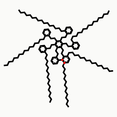 CCCCCCCCCCCCCCCCc1ccccc1CCc1c(CCc2ccccc2CCCCCCCCCCCCCCCC)c(CCc2ccccc2CCCCCCCCCCCCCCCC)c(CCc2ccccc2CCCCCCCCCCCCCCCC)c(CCc2ccccc2CCCCCCCCCCCCCCCC)c1CCc1ccccc1CCCCCCCCCCCCCCCC